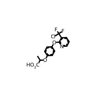 CC(Oc1ccc(Oc2ncccc2C(F)(F)Cl)cc1)C(=O)O